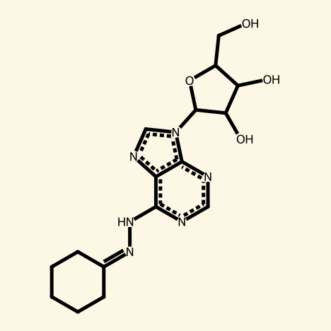 OCC1OC(n2cnc3c(NN=C4CCCCC4)ncnc32)C(O)C1O